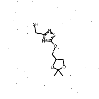 CC1(C)OCC(COc2nc(CS)ns2)O1